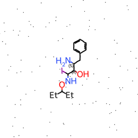 CCC(CC)ONC(I)[C@H](O)[C@@H](N)Cc1ccccc1